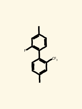 Cc1ccc(-c2ccc(C)cc2C(F)(F)F)c(F)c1